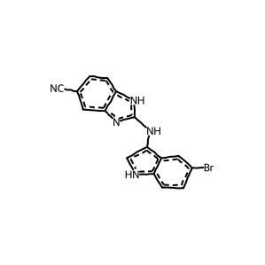 N#Cc1ccc2[nH]c(Nc3c[nH]c4ccc(Br)cc34)nc2c1